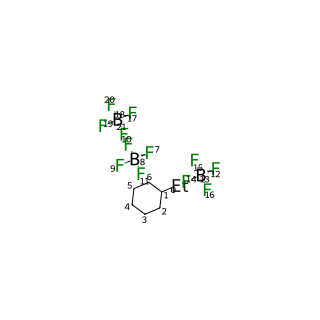 CCC1CCCCC1.F[B-](F)(F)F.F[B-](F)(F)F.F[B-](F)(F)F